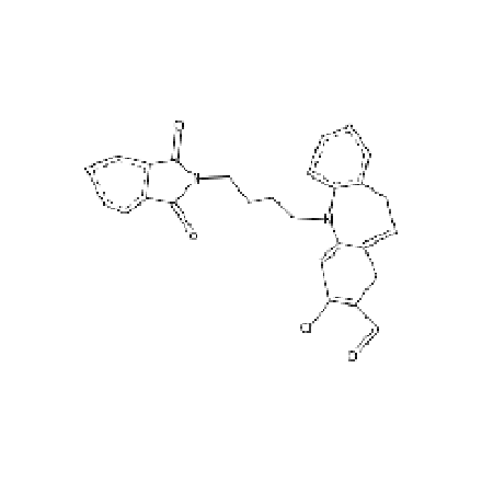 O=CC1=C(Cl)C=C2C(=CCc3ccccc3N2CCCCN2C(=O)c3ccccc3C2=O)C1